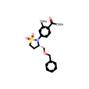 COC(=O)c1ccc(N2[C@H](COCc3ccccc3)CCS2(=O)=O)cc1OC